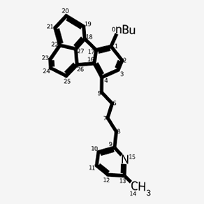 CCCCc1ccc(CCCCc2cccc(C)n2)c2c1-c1cccc3cccc-2c13